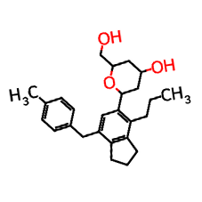 CCCc1c(C2CC(O)CC(CO)O2)cc(Cc2ccc(C)cc2)c2c1CCC2